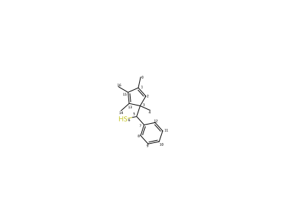 CC1=CC(C)(C(S)c2ccccc2)C(C)=C1C